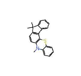 CN1c2ccccc2Sc2c1ccc1c2-c2ccccc2C1(C)C